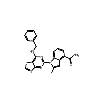 Cc1cc2c(C(N)=O)cccc2n1-c1nc(NCc2ccccc2)c2scnc2n1